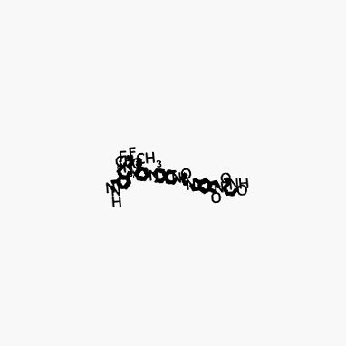 COc1cc(N2CCC3(CCN(C(=O)CN4Cc5cc6c(cc5C4)C(=O)N(C4CCC(=O)NC4=O)C6)CC3)CC2)ccc1[C@@H]1c2ccc3[nH]ncc3c2C[C@@H](C)N1CC(F)F